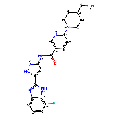 O=C(Nc1cc(-c2nc3cccc(F)c3[nH]2)[nH]n1)c1ccc(N2CCC(CO)CC2)nc1